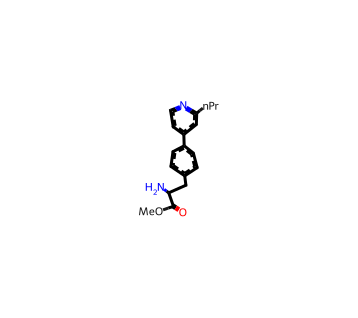 CCCc1cc(-c2ccc(CC(N)C(=O)OC)cc2)ccn1